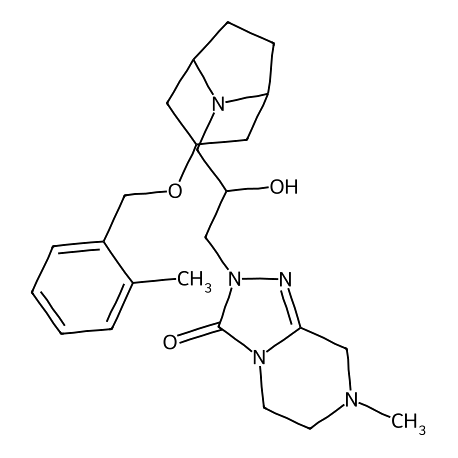 Cc1ccccc1COC1CC2CCC(C1)N2CC(O)Cn1nc2n(c1=O)CCN(C)C2